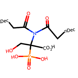 CCCCCCCCCCCC(=O)N(C(=O)CCCCCCCCCCC)C(CO)(C(=O)O)P(=O)(O)O